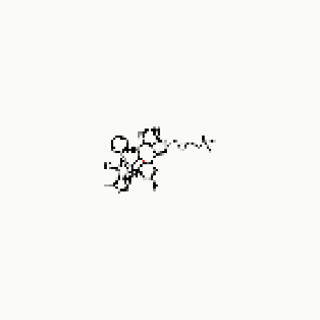 Cc1ccn2nc(C(C)Nc3ncnc4c3c(-c3cc(N)cc(F)c3)cn4COCC[Si](C)(C)C)n(-c3ccccc3)c(=O)c12